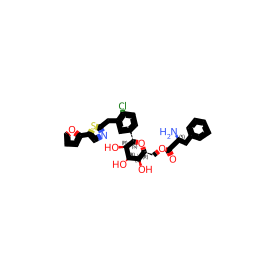 N[C@@H](Cc1ccccc1)C(=O)OC[C@H]1O[C@@H](c2ccc(Cl)c(Cc3ncc(-c4ccco4)s3)c2)[C@H](O)[C@@H](O)[C@@H]1O